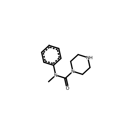 CN(C(=O)N1CCNCC1)c1cc[c]cc1